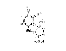 CC(C)(C)C1N(C(=O)O)CCC1(O)c1cccc(Cl)c1F